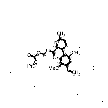 C=Cc1cc(C)c(-c2ccc(C)nc2C(=O)OCOC(=O)OC(C)C)cc1OC